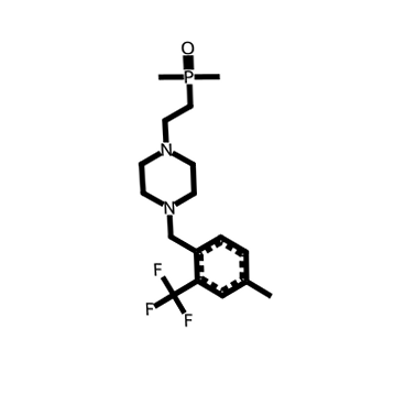 Cc1ccc(CN2CCN(CCP(C)(C)=O)CC2)c(C(F)(F)F)c1